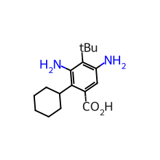 CC(C)(C)c1c(N)cc(C(=O)O)c(C2CCCCC2)c1N